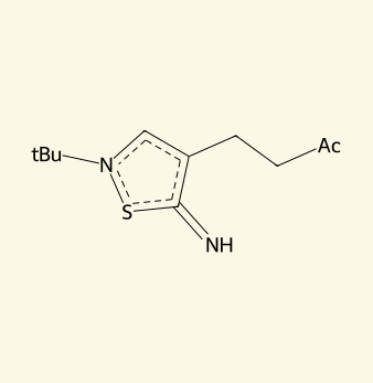 CC(=O)CCc1cn(C(C)(C)C)sc1=N